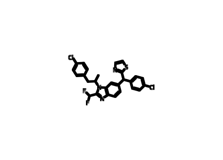 CC(Cc1ccc(Cl)cc1)n1c(C(F)F)nc2ccc(C(c3ccc(Cl)cc3)c3nccs3)cc21